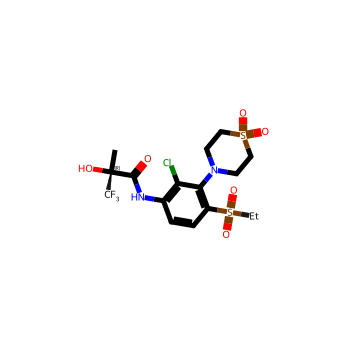 CCS(=O)(=O)c1ccc(NC(=O)[C@@](C)(O)C(F)(F)F)c(Cl)c1N1CCS(=O)(=O)CC1